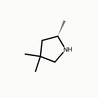 C[C@H]1CC(C)(C)CN1